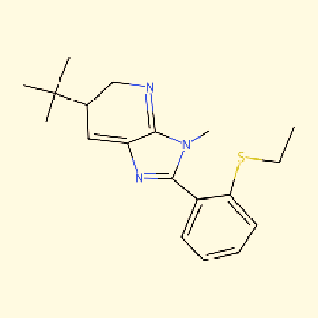 CCSc1ccccc1-c1nc2c(n1C)=NCC(C(C)(C)C)C=2